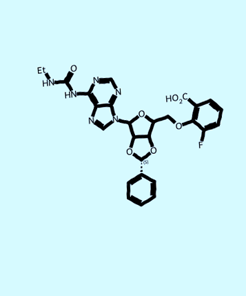 CCNC(=O)Nc1ncnc2c1ncn2C1OC(COc2c(F)cccc2C(=O)O)C2O[C@H](c3ccccc3)OC21